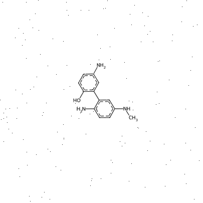 CNc1ccc(N)c(-c2cc(N)ccc2O)c1